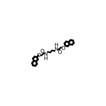 O=C(COc1ccc2ccccc2c1)NCCCCNC(=O)COc1ccc2ccccc2c1